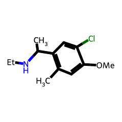 CCNC(C)c1cc(Cl)c(OC)cc1C